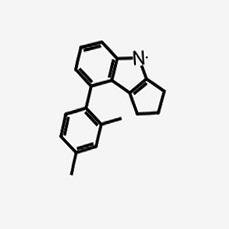 Cc1ccc(-c2cccc3c2C2=C(CCC2)[N]3)c(C)c1